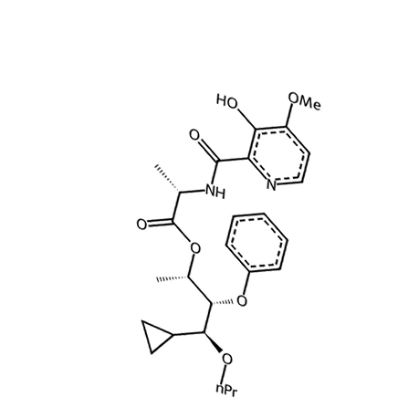 CCCO[C@@H](C1CC1)[C@@H](Oc1ccccc1)[C@H](C)OC(=O)[C@H](C)NC(=O)c1nccc(OC)c1O